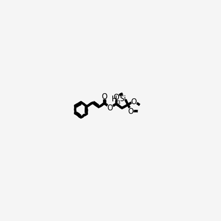 COC(CC([SiH3])(OC)OC)OC(=O)C=Cc1ccccc1